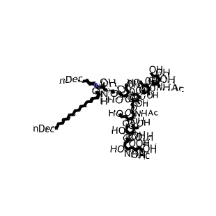 CCCCCCCCCCCCC/C=C/[C@@H](O)[C@H](CO[C@@H]1OC(CO)[C@@H](O[C@@H]2OC(CO[C@@H]3OC(CO)[C@@H](O[C@@H]4OC(CO)[C@H](O)[C@H](O[C@]5(C(=O)O)CC(O)[C@@H](NC(C)=O)C([C@H](O)[C@H](O)CO)O5)C4O)[C@H](O)C3NC(C)=O)[C@H](O)[C@H](O[C@H]3OC(CO)[C@H](O)[C@H](O[C@@H]4OC(CO)[C@H](O)[C@H](O)C4NC(C)=O)C3O)C2O)[C@H](O)C1O)NC(=O)CCCCCCCCCCCCCCCCCCCCCCCCC